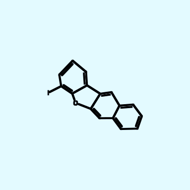 Ic1cccc2c1oc1cc3ccccc3cc12